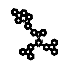 c1ccc2c(c1)c1ccccc1c1cc(-c3nc(-c4ccc5c6ccccc6c6ccccc6c5c4)nc(-n4c5ccccc5c5cc(-c6ccc7c(c6)c6ccccc6n7-c6cccc7c8ccccc8c8ccccc8c67)ccc54)n3)ccc21